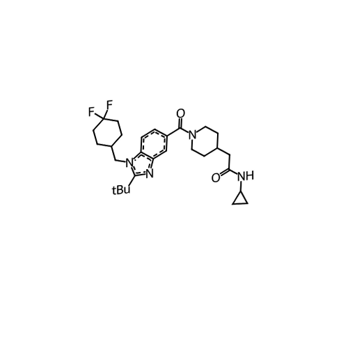 CC(C)(C)c1nc2cc(C(=O)N3CCC(CC(=O)NC4CC4)CC3)ccc2n1CC1CCC(F)(F)CC1